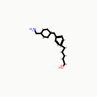 NCC1CCC(Cc2ccc(CCCCCO)cc2)CC1